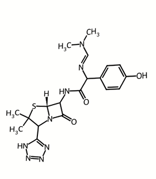 CN(C)/C=N/C(C(=O)NC1C(=O)N2C(c3nnn[nH]3)C(C)(C)S[C@H]12)c1ccc(O)cc1